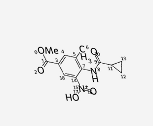 COC(=O)c1cc(C)c(NC(=O)C2CC2)c([N+](=O)O)c1